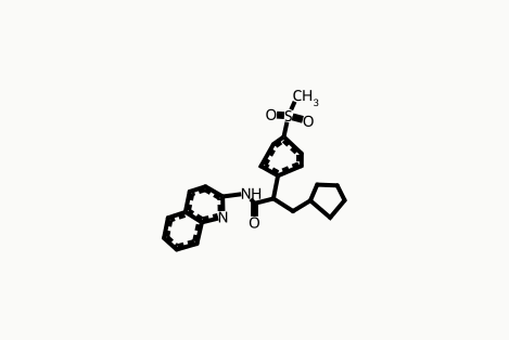 CS(=O)(=O)c1ccc(C(CC2CCCC2)C(=O)Nc2ccc3ccccc3n2)cc1